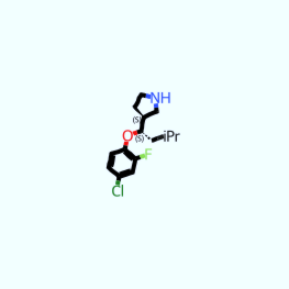 CC(C)C[C@H](Oc1ccc(Cl)cc1F)[C@H]1CCNC1